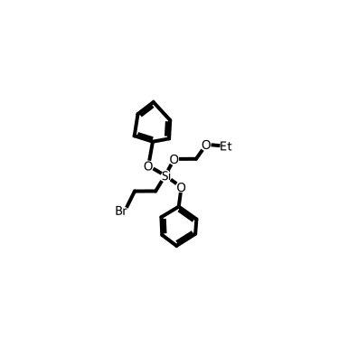 CCOCO[Si](CCBr)(Oc1ccccc1)Oc1ccccc1